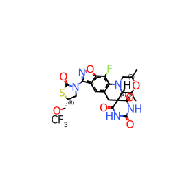 C[C@@H]1CN2c3c(cc4c(N5C[C@H](COC(F)(F)F)SC5=O)noc4c3F)CC3(C(=O)NC(=O)NC3=O)[C@H]2[C@H](C)O1